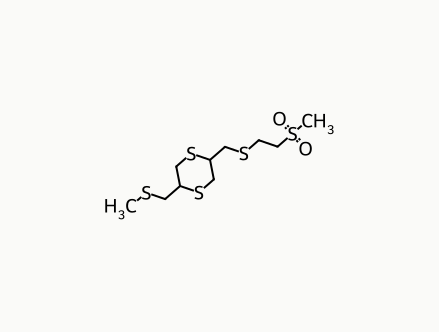 CSCC1CSC(CSCCS(C)(=O)=O)CS1